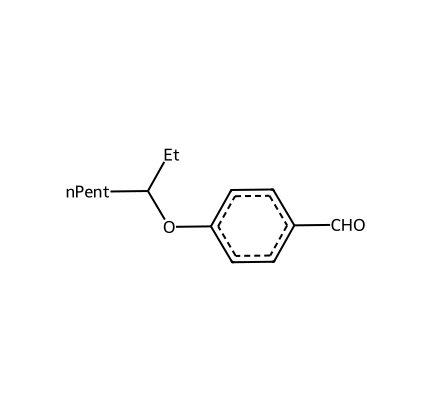 CCCCCC(CC)Oc1ccc(C=O)cc1